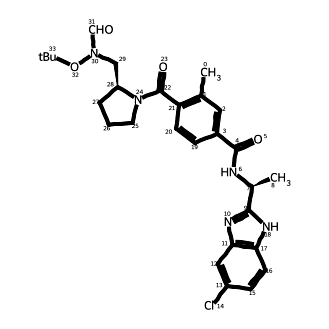 Cc1cc(C(=O)N[C@@H](C)c2nc3cc(Cl)ccc3[nH]2)ccc1C(=O)N1CCC[C@H]1CN(C=O)OC(C)(C)C